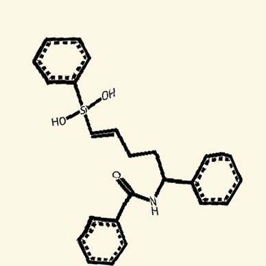 O=C(NC(CCC=C[Si](O)(O)c1ccccc1)c1ccccc1)c1ccccc1